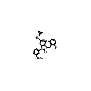 COc1cccc(-n2c(=O)n(Cc3c(F)cccc3OC)c3cnc(NC4CC4)nc32)c1